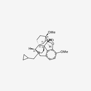 COc1ccc2c3c1O[C@H]1[C@@]4(OC)CC[C@@]5(C[C@@H]4C=O)[C@@H](C2)N(CC2CC2)CC[C@]315